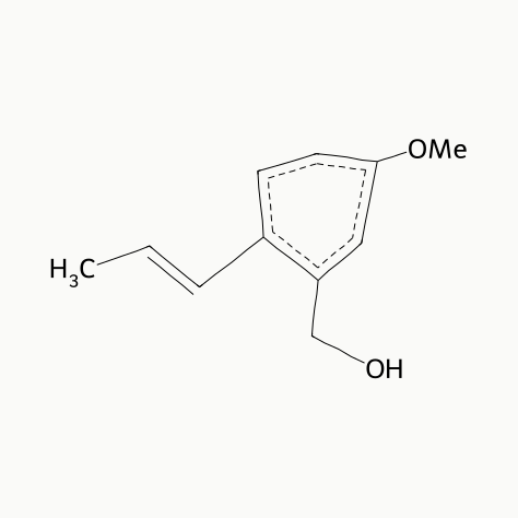 CC=Cc1ccc(OC)cc1CO